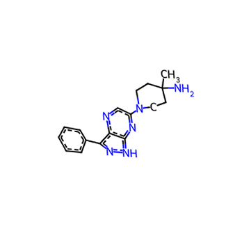 CC1(N)CCN(c2cnc3c(-c4ccccc4)n[nH]c3n2)CC1